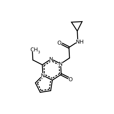 CCc1nn(CC(=O)NC2CC2)c(=O)c2cccn12